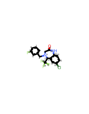 O=C1CN(Cc2cccc(F)c2)C(C(F)(F)F)c2cc(Cl)ccc2N1